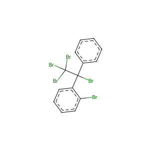 Brc1ccccc1C(Br)(c1ccccc1)C(Br)(Br)Br